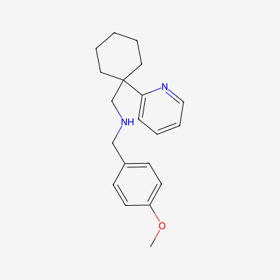 COc1ccc(CNCC2(c3ccccn3)CCCCC2)cc1